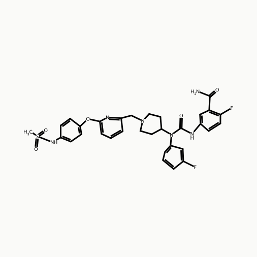 CS(=O)(=O)Nc1ccc(Oc2cccc(CN3CCC(N(C(=O)Nc4ccc(F)c(C(N)=O)c4)c4cccc(F)c4)CC3)n2)cc1